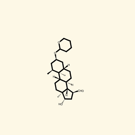 C[C@H]1C[C@@H](OC2CCCCO2)C[C@@H]2CC[C@H]3[C@@H]4[C@@H](C=O)C[C@H](O)[C@@]4(C)CC[C@@H]3[C@]21C